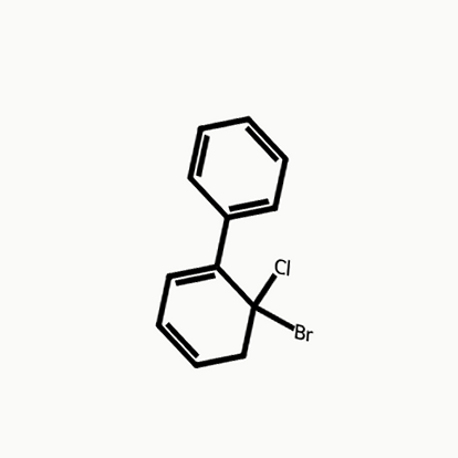 ClC1(Br)CC=CC=C1c1ccccc1